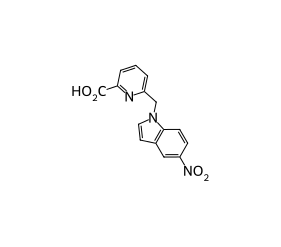 O=C(O)c1cccc(Cn2ccc3cc([N+](=O)[O-])ccc32)n1